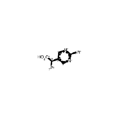 CC(C)c1ncc(C(C(=O)O)C(C)C)cn1